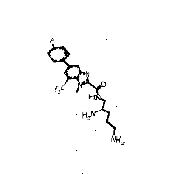 Cn1c(C(=O)NC[C@H](N)CCCN)nc2cc(-c3ccc(F)cc3)cc(C(F)(F)F)c21